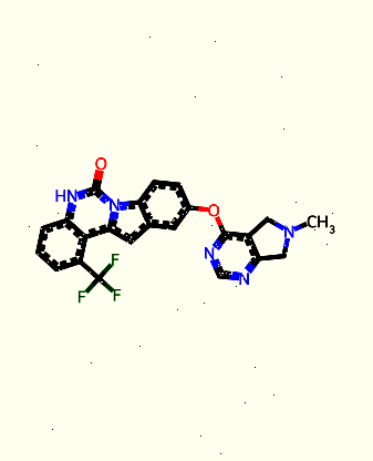 CN1Cc2ncnc(Oc3ccc4c(c3)cc3c5c(C(F)(F)F)cccc5[nH]c(=O)n43)c2C1